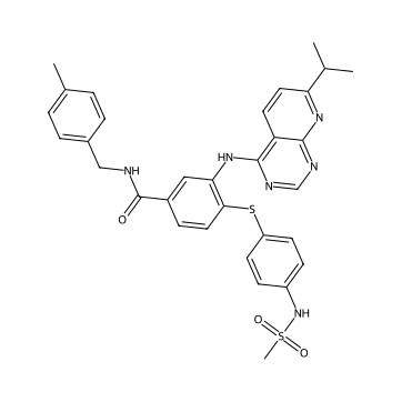 Cc1ccc(CNC(=O)c2ccc(Sc3ccc(NS(C)(=O)=O)cc3)c(Nc3ncnc4nc(C(C)C)ccc34)c2)cc1